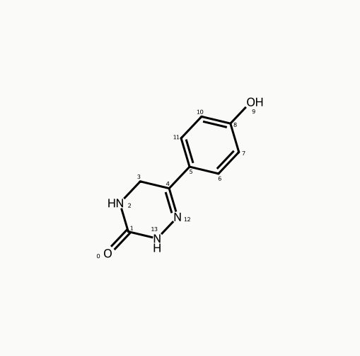 O=C1NCC(c2ccc(O)cc2)=NN1